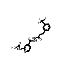 O=C(O)Nc1cc(C(=O)NNC(=O)CCc2cccc(C(F)(F)F)c2)ccn1